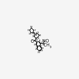 CC(N=O)c1cc(C(=O)C2CCCN(C3CCCC3)C2)cc2ccccc12